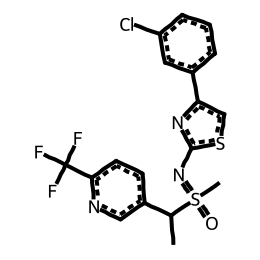 CC(c1ccc(C(F)(F)F)nc1)S(C)(=O)=Nc1nc(-c2cccc(Cl)c2)cs1